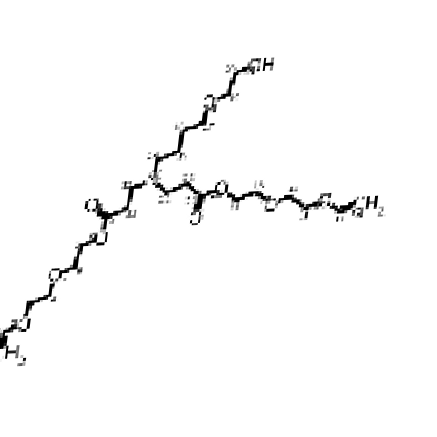 C=COCCOCCOC(=O)CCN(CCCCOCCO)CCC(=O)OCCOCCOC=C